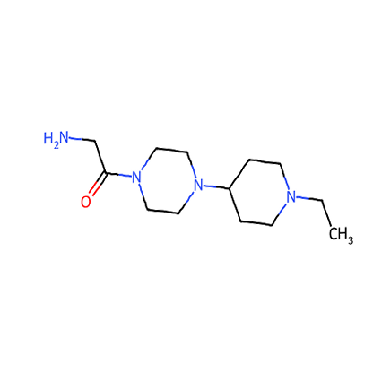 CCN1CCC(N2CCN(C(=O)CN)CC2)CC1